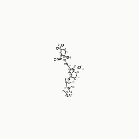 COc1cc(S(C)(=O)=O)ccc1NCC#Cc1cc2c(NC3CCN(CC(C)OC(C)=O)CC3)cccc2n1CC(F)(F)F